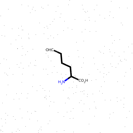 NC(CCC[C]=O)C(=O)O